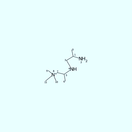 CC(N)CNC(C)C[N+](C)(C)C